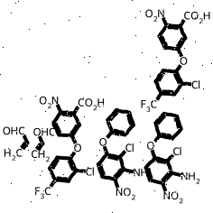 C=CC=O.C=CC=O.Nc1c([N+](=O)[O-])ccc(Oc2ccccc2)c1Cl.Nc1c([N+](=O)[O-])ccc(Oc2ccccc2)c1Cl.O=C(O)c1cc(Oc2ccc(C(F)(F)F)cc2Cl)ccc1[N+](=O)[O-].O=C(O)c1cc(Oc2ccc(C(F)(F)F)cc2Cl)ccc1[N+](=O)[O-]